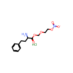 Cl.NC(CCc1ccccc1)C(=O)OCOCCO[N+](=O)[O-]